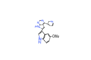 COc1ccc2[nH]cc(-c3cc4c(-c5cccnc5)ncnc4[nH]3)c2c1